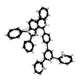 c1ccc(-c2nc3c4c(-c5ccc(-c6cc(-c7ccccn7)nc(-c7ccccn7)c6)cc5)nc5ccccc5c4ccc3n2-c2ccccc2)cc1